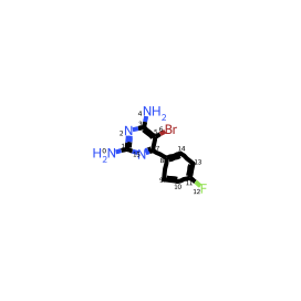 Nc1nc(N)c(Br)c(-c2ccc(F)cc2)n1